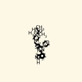 CNC(=O)C(C)(C)N1CCN(Cc2cc3c(N4CCOCC4)nc(-c4cccc5[nH]ncc45)nc3s2)CC1